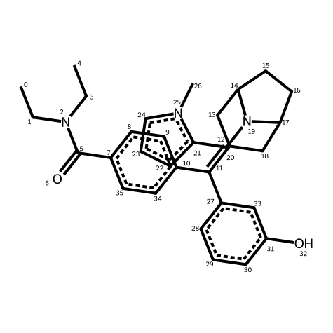 CCN(CC)C(=O)c1ccc(C(=C2CC3CCC(C2)N3Cc2cccn2C)c2cccc(O)c2)cc1